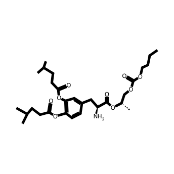 CCCCOC(=O)OC[C@H](C)OC(=O)[C@@H](N)Cc1ccc(OC(=O)CCC(C)C)c(OC(=O)CCC(C)C)c1